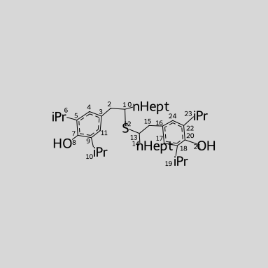 CCCCCCCC(Cc1cc(C(C)C)c(O)c(C(C)C)c1)SC(CCCCCCC)Cc1cc(C(C)C)c(O)c(C(C)C)c1